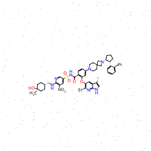 CCc1nc2[nH]cc(F)c2cc1Oc1cc(N2CCC3(CC2)CN([C@@H]2CCC[C@@H]2c2ccccc2C(C)C)C3)ccc1C(=O)NS(=O)(=O)c1cnc(NC[C@H]2CC[C@](C)(O)CC2)c([N+](=O)[O-])c1